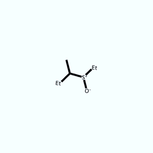 [CH2]C[S+]([O-])C(C)CC